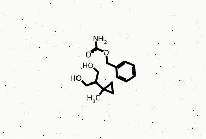 CC1(C(CO)CO)CC1.NC(=O)OCc1ccccc1